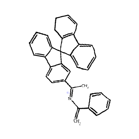 C=C(/N=C(\C)c1ccc2c(c1)C1(C3=C(C=CCC3)c3ccccc31)c1ccccc1-2)c1ccccc1